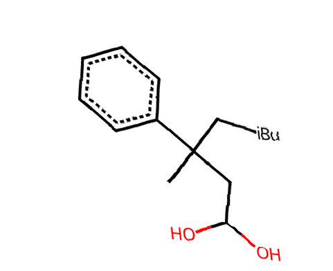 CCC(C)CC(C)(CC(O)O)c1ccccc1